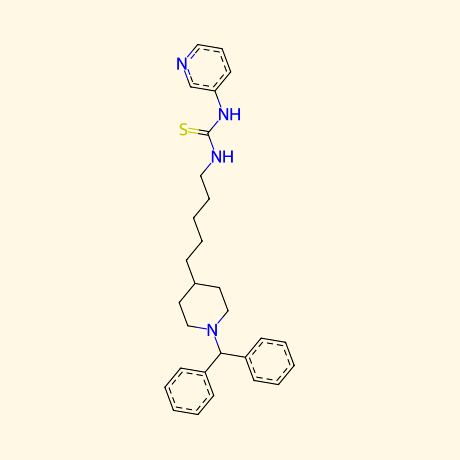 S=C(NCCCCCC1CCN(C(c2ccccc2)c2ccccc2)CC1)Nc1cccnc1